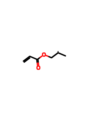 C=CC(=O)OC[CH]C